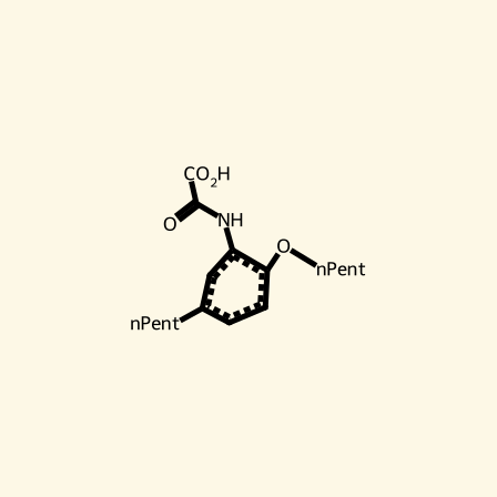 CCCCCOc1ccc(CCCCC)cc1NC(=O)C(=O)O